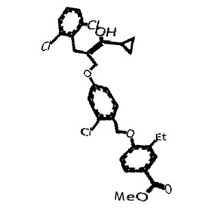 CCc1cc(C(=O)OC)ccc1OCc1ccc(OC/C(Cc2c(Cl)cccc2Cl)=C(/O)C2CC2)cc1Cl